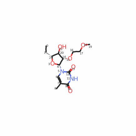 CC[C@H]1O[C@@H](n2cc(C)c(=O)[nH]c2=O)[C@@H](OCCOC)C1O